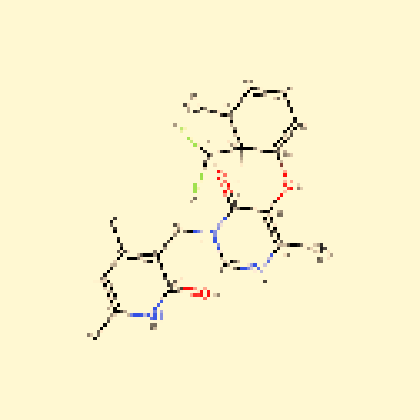 Cc1cc(C)c(Cn2cnc(C(F)(F)F)c(OC3=CC=CC(C#N)C3(C)C(F)F)c2=O)c(=O)[nH]1